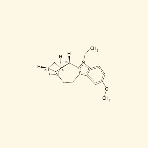 CCn1c2c(c3cc(OC)ccc31)CCN1C[C@H]3C[C@@H]2[C@@H]1C3